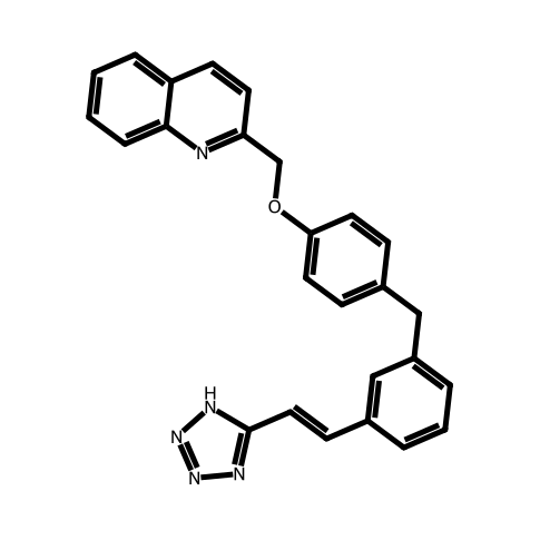 C(=Cc1nnn[nH]1)c1cccc(Cc2ccc(OCc3ccc4ccccc4n3)cc2)c1